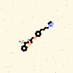 C=C(c1nc(COc2ccc(CCCCn3ccnn3)cc2)co1)c1ccccc1F